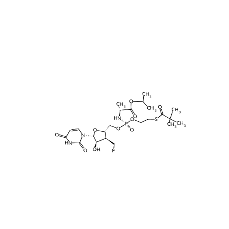 CC(C)OC(=O)[C@@H](C)N[P@@](=O)(OCCSC(=O)C(C)(C)C)OC[C@H]1O[C@@H](n2ccc(=O)[nH]c2=O)[C@H](O)[C@@H]1CF